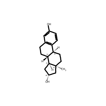 C[C@@]12CC[C@@H]3c4ccc(O)cc4CC[C@H]3[C@@H]1C[C@@H](O)C2